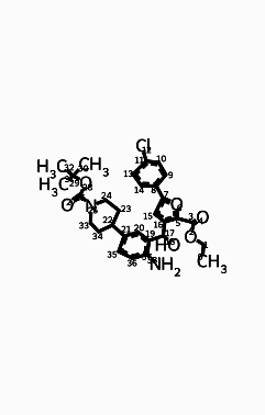 CCOC(=O)c1oc(-c2ccc(Cl)cc2)cc1C(O)c1cc(C2CCN(C(=O)OC(C)(C)C)CC2)ccc1N